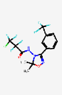 CC1(C)ON=C(c2cccc(C(F)(F)F)c2)N1NC(=O)C(F)(F)C(F)(F)Cl